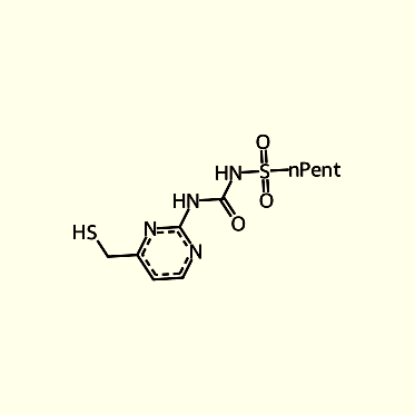 CCCCCS(=O)(=O)NC(=O)Nc1nccc(CS)n1